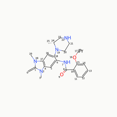 C=C1N(C)c2cc(NC(=O)c3ccccc3OC(C)C)c(N3CCNC[C@H]3C)cc2N1C